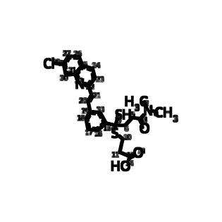 CN(C)C(=O)CCC(S)(SCCC(=O)O)c1cccc(C=Cc2ccc3ccc(Cl)cc3n2)c1